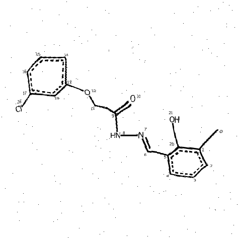 Cc1cccc(C=NNC(=O)COc2cccc(Cl)c2)c1O